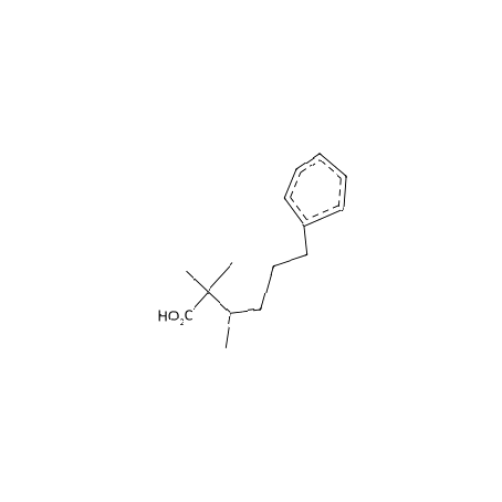 CC(CCCc1ccccc1)C(C)(C)C(=O)O